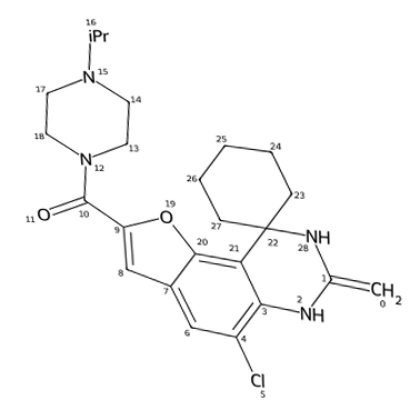 C=C1Nc2c(Cl)cc3cc(C(=O)N4CCN(C(C)C)CC4)oc3c2C2(CCCCC2)N1